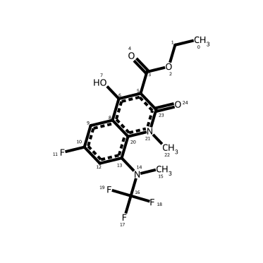 CCOC(=O)c1c(O)c2cc(F)cc(N(C)C(F)(F)F)c2n(C)c1=O